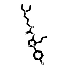 CCCc1c(OC(=O)NCCCN(CC)CC)cnn1-c1ccc(Cl)cc1